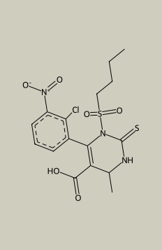 CCCCS(=O)(=O)N1C(=S)NC(C)C(C(=O)O)=C1c1cccc([N+](=O)[O-])c1Cl